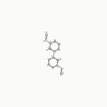 O=Cc1cccc(-c2cccc(C=O)n2)n1